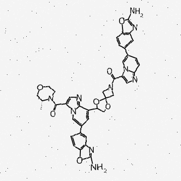 C[C@@H]1COCCN1C(=O)c1cnc2c(C3COC4(CN(C(=O)c5cnc6ccc(-c7ccc8oc(N)nc8c7)cn56)C4)O3)cc(-c3ccc4oc(N)nc4c3)cn12